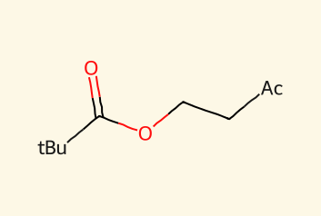 CC(=O)CCOC(=O)C(C)(C)C